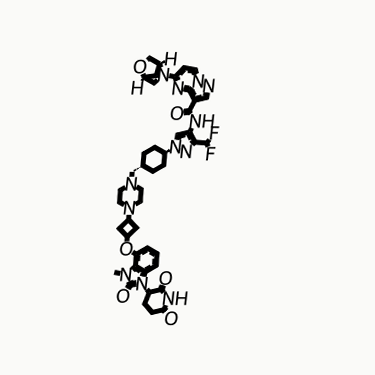 Cn1c(=O)n(C2CCC(=O)NC2=O)c2cccc(OC3CC(N4CCN(C[C@H]5CC[C@H](n6cc(NC(=O)c7cnn8ccc(N9C[C@H]%10C[C@@H]9CO%10)nc78)c(C(F)F)n6)CC5)CC4)C3)c21